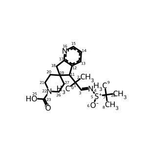 CC(C)(C=N[S+]([O-])C(C)(C)C)C1c2cccnc2CC12CCN(C(=O)O)CC2